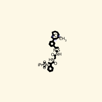 CC1=C/CCC/C(C)=C/C(c2cccc(-c3csc(NC(=O)CNC(=O)c4cn(S(=O)(=O)C(C)C)c5ccccc45)n3)c2)=C\1